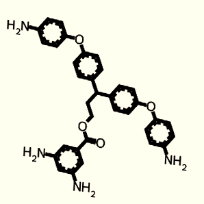 Nc1ccc(Oc2ccc(C(CCOC(=O)c3cc(N)cc(N)c3)c3ccc(Oc4ccc(N)cc4)cc3)cc2)cc1